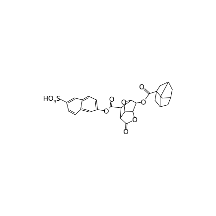 O=C1OC2C(OC(=O)C34CC5CC(CC(C5)C3)C4)C3OC2C1C3C(=O)Oc1ccc2cc(S(=O)(=O)O)ccc2c1